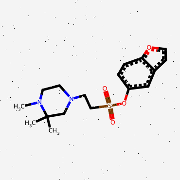 CN1CCN(CCS(=O)(=O)Oc2ccc3occc3c2)CC1(C)C